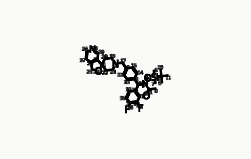 CC(=O)N(O[Si](C)(C)C(C)(C)C)C(c1ccc(CN2CCC3(CC2)OCc2ccncc23)cc1)c1ccc(F)c(F)c1